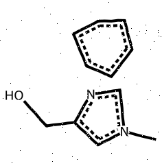 Cn1cnc(CO)c1.c1ccccc1